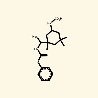 CCCCCCC(NC(=O)Oc1ccccc1)C1(C)CC(NC(=O)O)CC(C)(C)C1